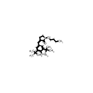 CCCCON1CCC(=Cc2cc(C(C)(C)C)c(O)c(C(C)(C)C)c2)C1=O